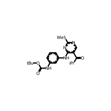 CSc1ncc(C(=O)C(C)C)c(Nc2cccc(NC(=O)OC(C)(C)C)c2)n1